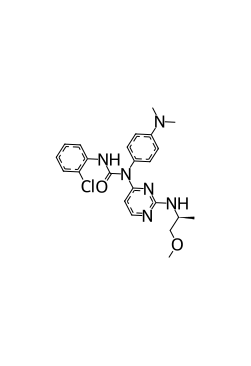 COC[C@H](C)Nc1nccc(N(C(=O)Nc2ccccc2Cl)c2ccc(N(C)C)cc2)n1